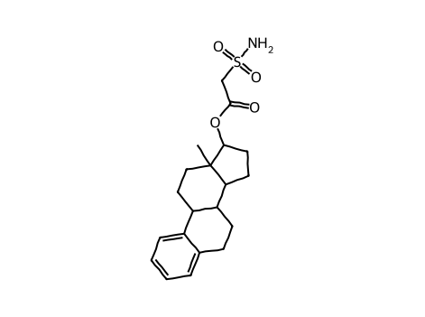 CC12CCC3c4ccccc4CCC3C1CCC2OC(=O)CS(N)(=O)=O